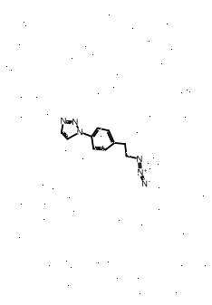 [N-]=[N+]=NCCc1ccc(-n2ccnn2)cc1